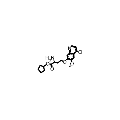 COc1cc2c(Cl)ccnc2cc1OCC[C@H](N)C(=O)OC1CCCC1